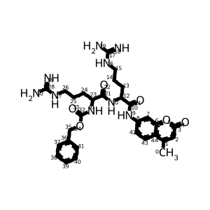 Cc1cc(=O)oc2cc(NC(=O)C(CCCNC(=N)N)NC(=O)C(CCCNC(=N)N)NC(=O)OCc3ccccc3)ccc12